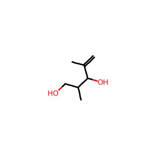 C=C(C)C(O)C(C)CO